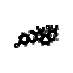 O=C1N(Cc2cncc(Cl)c2)c2ccc(F)c(C(O)C(F)F)c2C1(F)F